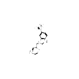 O=[N+]([O-])c1ccc2ncn(Cc3cnccn3)c2c1